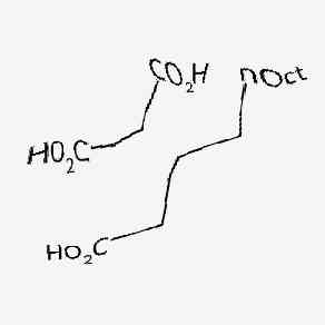 CCCCCCCCCCCC(=O)O.O=C(O)CC(=O)O